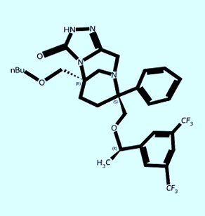 CCCCOC[C@]12CC[C@@](CO[C@H](C)c3cc(C(F)(F)F)cc(C(F)(F)F)c3)(c3ccccc3)N(Cc3n[nH]c(=O)n31)C2